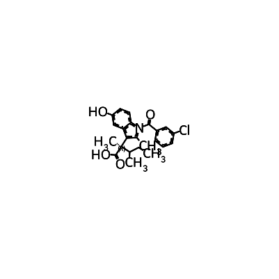 CCC(C)[C@@](C)(C(=O)O)c1c(C)n(C(=O)c2cccc(Cl)c2)c2ccc(O)cc12